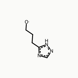 [O]CCCc1ncn[nH]1